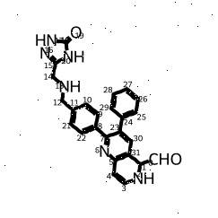 O=CC1NC=Cc2nc(-c3ccc(CNCc4n[nH]c(=O)[nH]4)cc3)c(-c3ccccc3)cc21